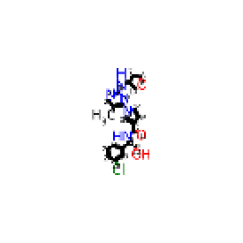 Cc1cnc(N[C@@H]2CCOC2)nc1-n1ccc(C(=O)N[C@H](CO)c2cccc(Cl)c2)c1